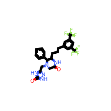 O=C1CN(Cc2n[nH]c(=O)[nH]2)C(c2ccccc2)C(CCCc2cc(C(F)(F)F)cc(C(F)(F)F)c2)N1